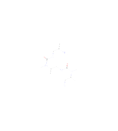 CC(N)CNC(=O)N(C)C(C)CNC(=O)N(C)C(C)CN